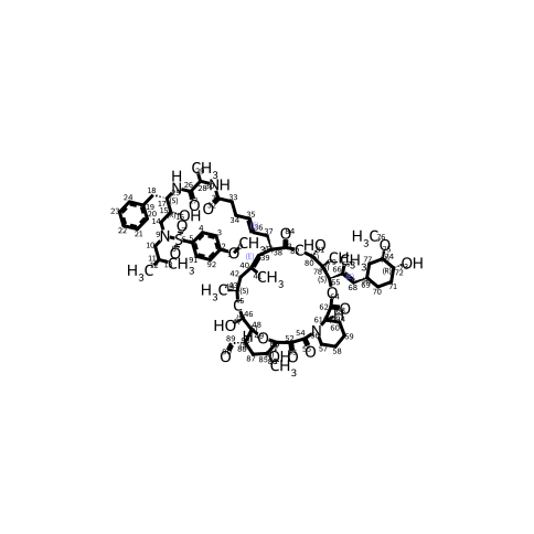 COc1ccc(S(=O)(=O)N(CC(C)C)C[C@@H](O)[C@H](Cc2ccccc2)NC(=O)C(C)NC(=O)CC/C=C/C[C@@H]2/C=C(\C)C[C@H](C)C[C@H](O)[C@H]3O[C@@](O)(C(=O)C(=O)N4CCCC[C@H]4C(=O)O[C@H](/C(C)=C/[C@@H]4CC[C@@H](O)[C@H](OC)C4)[C@H](C)[C@@H](O)CC2=O)[C@H](C)C[C@@H]3C=O)cc1